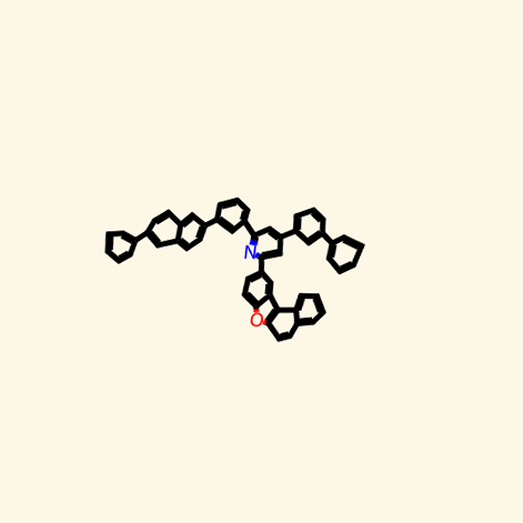 c1ccc(-c2cccc(-c3cc(-c4cccc(-c5ccc6cc(-c7ccccc7)ccc6c5)c4)nc(-c4ccc5oc6ccc7ccccc7c6c5c4)c3)c2)cc1